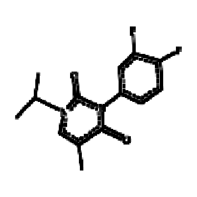 Cc1cn(C(C)C)c(=O)n(-c2ccc(F)c(F)c2)c1=O